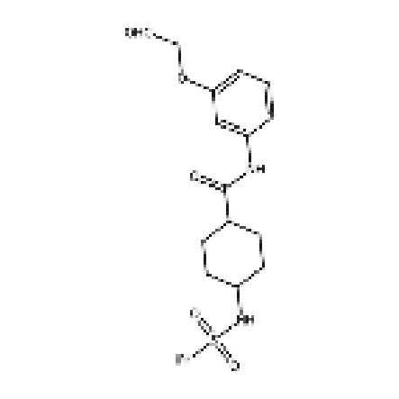 CC(C)S(=O)(=O)NC1CCC(C(=O)Nc2cccc(OCC=O)c2)CC1